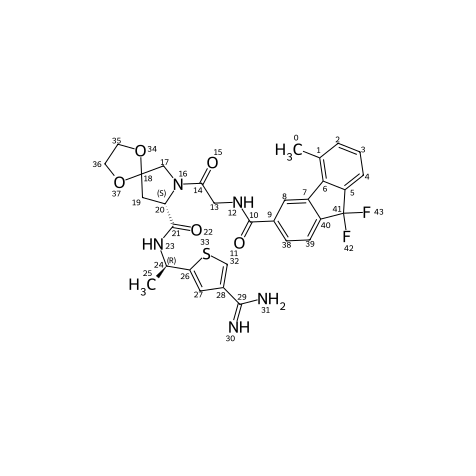 Cc1cccc2c1-c1cc(C(=O)NCC(=O)N3CC4(C[C@H]3C(=O)N[C@H](C)c3cc(C(=N)N)cs3)OCCO4)ccc1C2(F)F